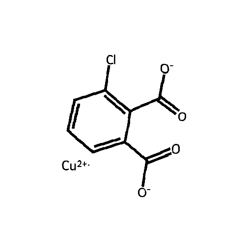 O=C([O-])c1cccc(Cl)c1C(=O)[O-].[Cu+2]